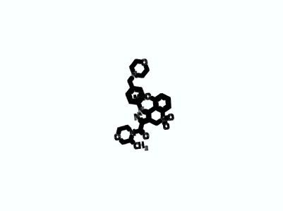 COc1cccc2c1-c1c(c(C(=O)N3CCOCC3C)nn1-c1ccc(CN3CCOCC3)cc1)CS2(=O)=O